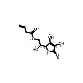 C=CCC(=O)OC[C@H](O)C1OC(=O)C(O)=C1O